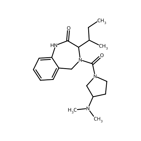 CCC(C)C1C(=O)Nc2ccccc2CN1C(=O)N1CCC(N(C)C)C1